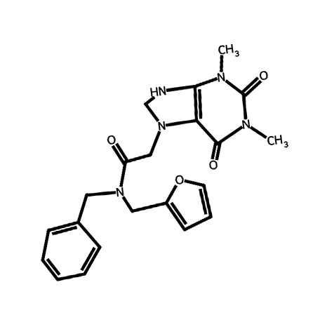 Cn1c2c(c(=O)n(C)c1=O)N(CC(=O)N(Cc1ccccc1)Cc1ccco1)CN2